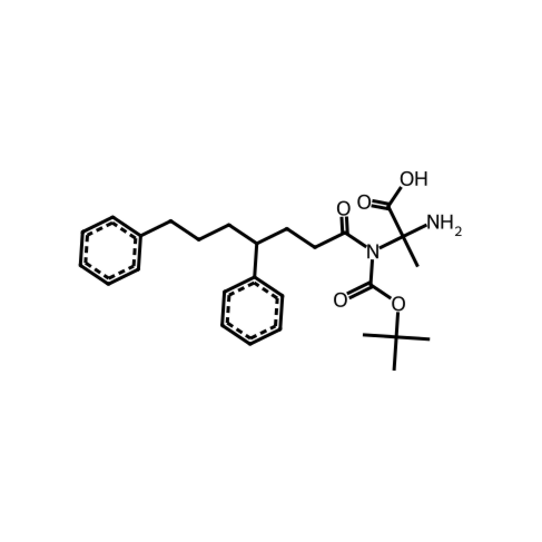 CC(C)(C)OC(=O)N(C(=O)CCC(CCCc1ccccc1)c1ccccc1)C(C)(N)C(=O)O